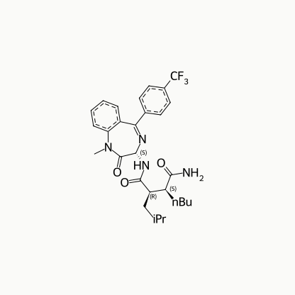 CCCC[C@H](C(N)=O)[C@@H](CC(C)C)C(=O)N[C@H]1N=C(c2ccc(C(F)(F)F)cc2)c2ccccc2N(C)C1=O